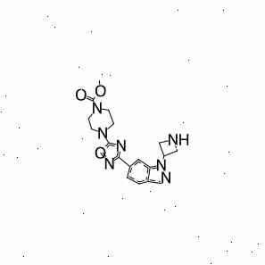 COC(=O)N1CCN(c2nc(-c3ccc4cnn(C5CNC5)c4c3)no2)CC1